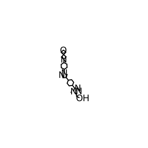 Cn1c(CO)nnc1C1CCC(c2cnn(C3CCC(N4CC5(COC5)C4)CC3)c2)CC1